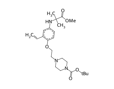 C=Cc1cc(NC(C)(C)C(=O)OC)ccc1OCCN1CCN(C(=O)OC(C)(C)C)CC1